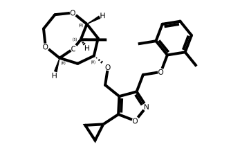 Cc1cccc(C)c1OCc1noc(C2CC2)c1CO[C@@H]1C[C@H]2C[C@H](C)[C@@H](C1)OCCO2